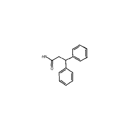 [NH]C(=O)CC(c1ccccc1)c1ccccc1